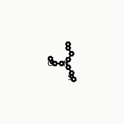 c1cc(-c2ccc(N(c3ccc(-c4ccc5c(c4)sc4ccccc45)cc3)c3ccc(-c4ccc5oc6ccccc6c5c4)cc3)cc2)cc(-c2ccc3ccccc3c2)c1